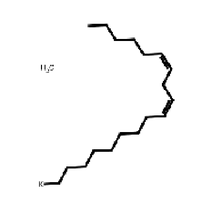 CCCCC/C=C\C/C=C\CCCCCCC[CH2][K].O